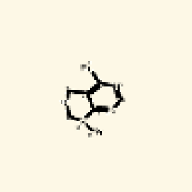 CC(C)c1ncnc2c1CCCN2C(C)C